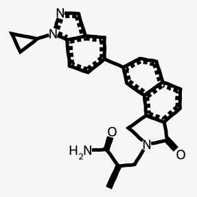 C=C(CN1Cc2c(ccc3ccc(-c4ccc5c(cnn5C5CC5)c4)cc23)C1=O)C(N)=O